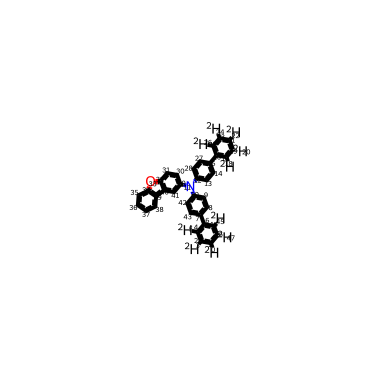 [2H]c1c([2H])c([2H])c(-c2ccc(N(c3ccc(-c4c([2H])c([2H])c([2H])c([2H])c4[2H])cc3)c3ccc4oc5ccccc5c4c3)cc2)c([2H])c1[2H]